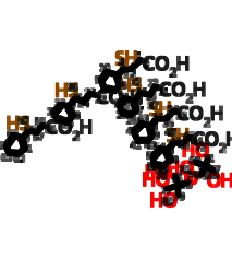 O=C(O)CCC(S)c1ccccc1.O=C(O)CCC(S)c1ccccc1.O=C(O)CCC(S)c1ccccc1.O=C(O)CCC(S)c1ccccc1.O=C(O)CCC(S)c1ccccc1.O=C(O)CCC(S)c1ccccc1.OCC(CO)(CO)COCC(CO)(CO)CO